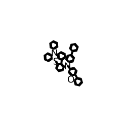 c1ccc(-c2ccc(N(c3ccc4c(c3)oc3ccccc34)c3cccc4sc5c(N(c6ccccc6)c6ccccc6)cccc5c34)cc2)cc1